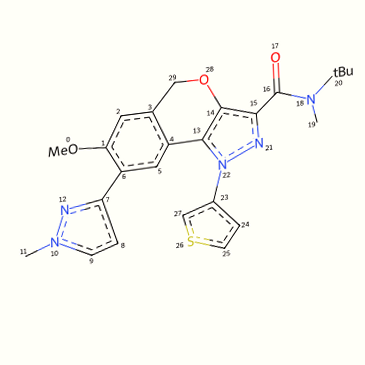 COc1cc2c(cc1-c1ccn(C)n1)-c1c(c(C(=O)N(C)C(C)(C)C)nn1-c1ccsc1)OC2